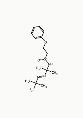 CC(C)(C)N=NC(C)(C)N[S+]([O-])CCOc1ccccc1